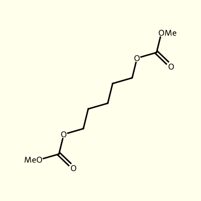 COC(=O)OCCCCCOC(=O)OC